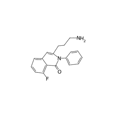 NCCCc1cc2cccc(F)c2c(=O)n1-c1ccccc1